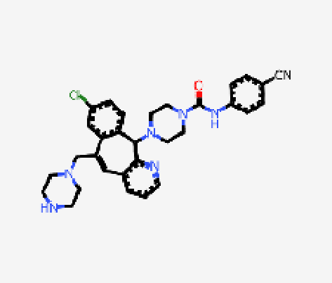 N#Cc1ccc(NC(=O)N2CCN(C3c4ccc(Cl)cc4C(CN4CCNCC4)=Cc4cccnc43)CC2)cc1